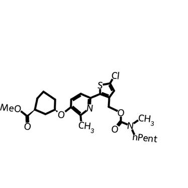 CCCCCN(C)C(=O)OCc1cc(Cl)sc1-c1ccc(O[C@H]2CCC[C@H](C(=O)OC)C2)c(C)n1